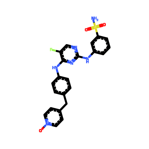 NS(=O)(=O)c1cccc(Nc2ncc(F)c(Nc3ccc(Cc4cc[n+]([O-])cc4)cc3)n2)c1